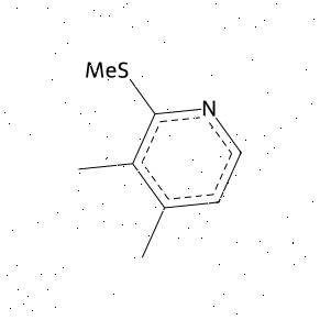 CSc1nccc(C)c1C